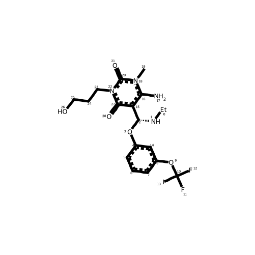 CCN[C@H](Oc1cccc(OC(F)(F)I)c1)c1c(N)n(C)c(=O)n(CCCO)c1=O